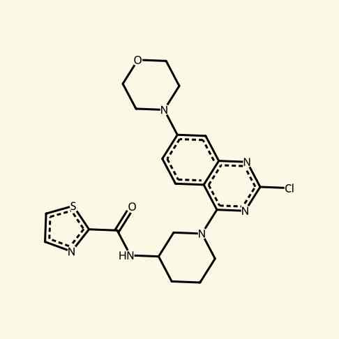 O=C(NC1CCCN(c2nc(Cl)nc3cc(N4CCOCC4)ccc23)C1)c1nccs1